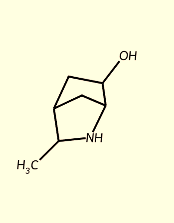 CC1NC2CC1CC2O